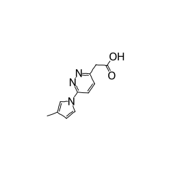 Cc1ccn(-c2ccc(CC(=O)O)nn2)c1